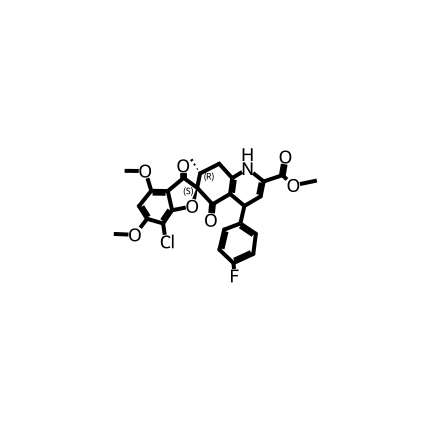 COC(=O)C1=CC(c2ccc(F)cc2)C2=C(C[C@@H](C)[C@]3(Oc4c(Cl)c(OC)cc(OC)c4C3=O)C2=O)N1